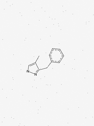 CC1=C[N]N=C1Cc1ccccc1